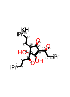 CC(C)CCC(=O)[C@@]1(O)C(O)=C(C(=O)CC(C)C)C(=O)[C@@H]1CCC(C)C.[KH]